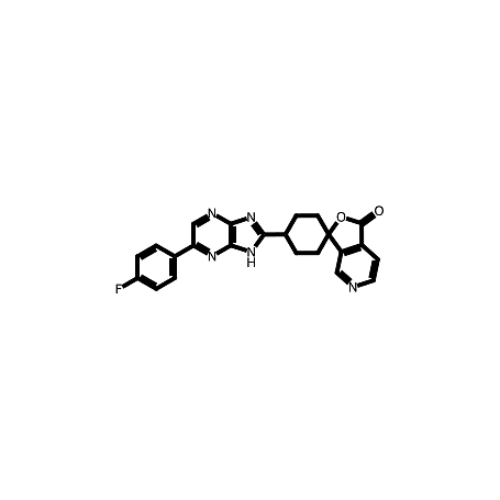 O=C1OC2(CCC(c3nc4ncc(-c5ccc(F)cc5)nc4[nH]3)CC2)c2cnccc21